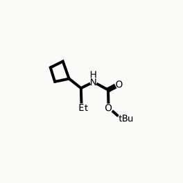 CCC(NC(=O)OC(C)(C)C)C1CCC1